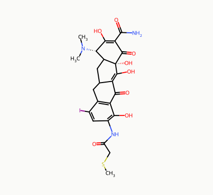 CSCC(=O)Nc1cc(I)c2c(c1O)C(=O)C1=C(O)[C@]3(O)C(=O)C(C(N)=O)=C(O)[C@@H](N(C)C)C3CC1C2